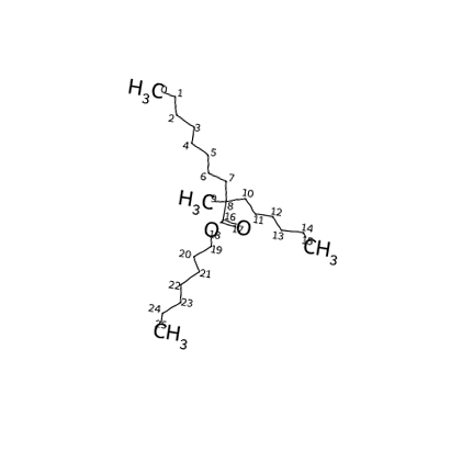 CCCCCCCCC(C)(CCCCCC)C(=O)OCCCCCCC